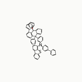 c1ccc(-c2ccc(N(c3cccc(C4(c5ccccc5)c5ccccc5C5(c6ccccc6)c6ccccc6-c6cccc4c65)c3)c3cccc4c3sc3ccccc34)cc2)cc1